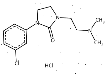 CN(C)CCN1CCN(c2cccc(Cl)c2)C1=O.Cl